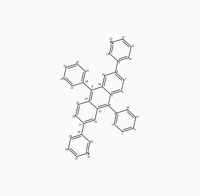 c1ccc(-c2c3ccc(-c4cccnc4)cc3c(-c3ccccc3)c3ccc(-c4cccnc4)cc23)cc1